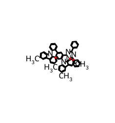 Cc1ccc2c(c1)c1cc(C)ccc1n2-c1ccccc1-c1ccc(-n2c3ccc(C)cc3c3cc(C)ccc32)c(-c2nc(-c3ccccc3)nc(-c3ccccc3)n2)c1